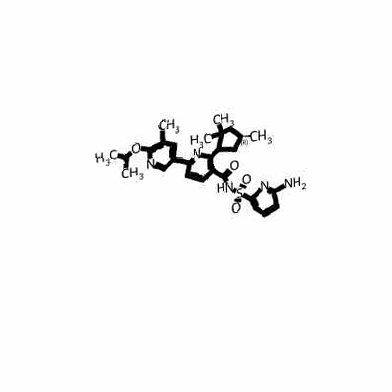 Cc1cc(-c2ccc(C(=O)NS(=O)(=O)c3cccc(N)n3)c(C3C[C@@H](C)CC3(C)C)n2)cnc1OC(C)C